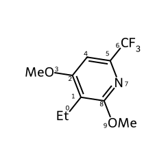 CCc1c(OC)cc(C(F)(F)F)nc1OC